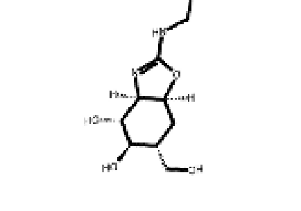 CCCNC1=N[C@@H]2[C@@H](O)[C@H](O)[C@@H](CO)C[C@@H]2O1